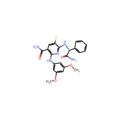 COc1cc(Nc2nc(N[C@H](C(N)=O)c3ccccc3)c(F)cc2C(N)=O)cc(OC)c1